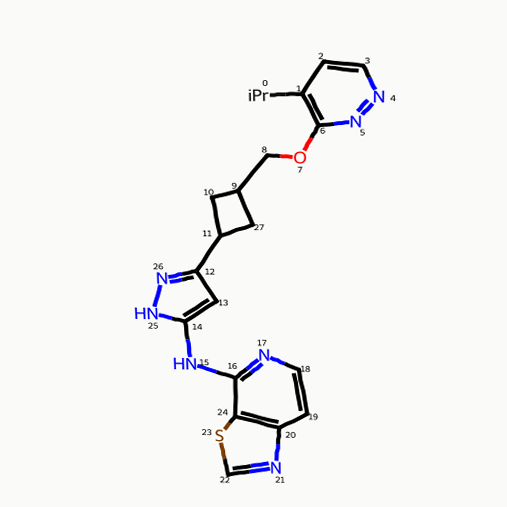 CC(C)c1ccnnc1OCC1CC(c2cc(Nc3nccc4ncsc34)[nH]n2)C1